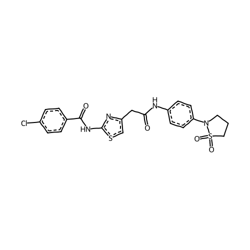 O=C(Cc1csc(NC(=O)c2ccc(Cl)cc2)n1)Nc1ccc(N2CCCS2(=O)=O)cc1